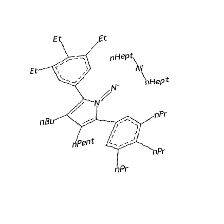 CCCCCC1=C(c2cc(CCC)c(CCC)c(CCC)c2)[N+](=[N-])C(c2cc(CC)c(CC)c(CC)c2)=C1CCCC.CCCCCC[CH2][Ni][CH2]CCCCCC